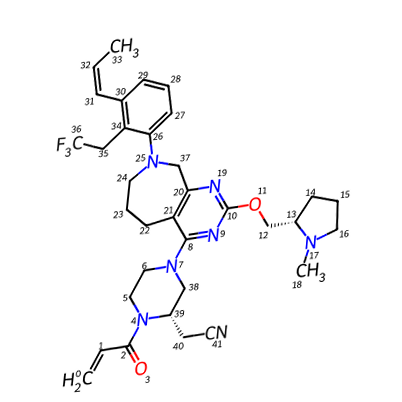 C=CC(=O)N1CCN(c2nc(OC[C@@H]3CCCN3C)nc3c2CCCN(c2cccc(/C=C\C)c2CC(F)(F)F)C3)C[C@@H]1CC#N